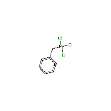 [Cl][Hf]([Cl])([Cl])[CH2]c1ccccc1